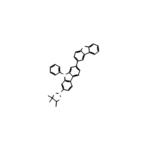 CC1OB(c2ccc3c4ccc(-c5ccc6sc7ccccc7c6c5)cc4n(-c4ccccc4)c3c2)OC1(C)C